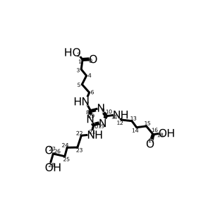 O=C(O)CCCCNc1nc(NCCCCC(=O)O)nc(NCCCCC(=O)O)n1